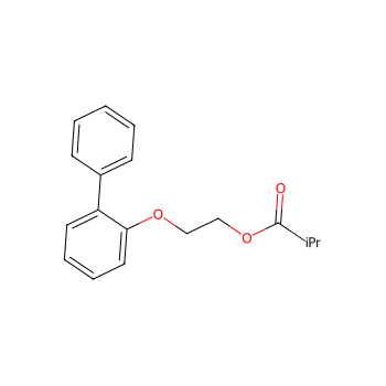 CC(C)C(=O)OCCOc1ccccc1-c1ccccc1